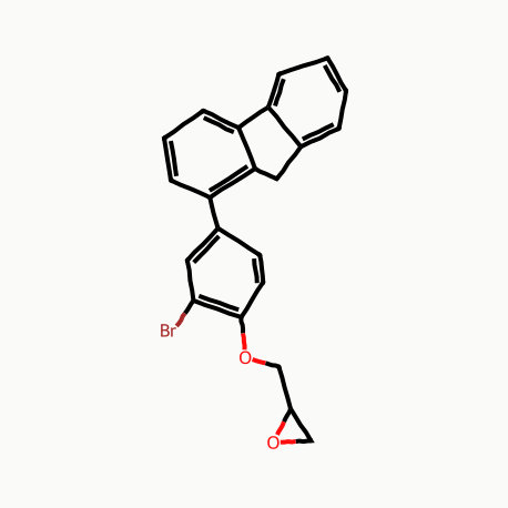 Brc1cc(-c2cccc3c2Cc2ccccc2-3)ccc1OCC1CO1